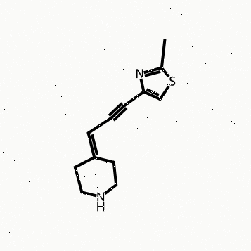 Cc1nc(C#CC=C2CCNCC2)cs1